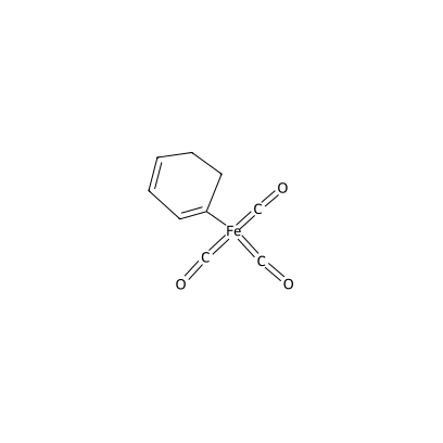 O=[C]=[Fe](=[C]=O)(=[C]=O)[C]1=CC=CCC1